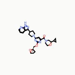 O=C(c1cc(N2CCC(c3n[nH]c4ncccc34)CC2)nc(OC[C@H]2CCCO2)n1)N1CCOC(C2CC2)C1